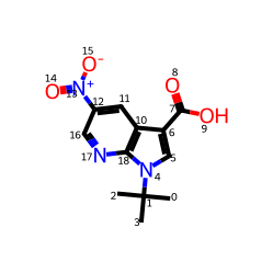 CC(C)(C)n1cc(C(=O)O)c2cc([N+](=O)[O-])cnc21